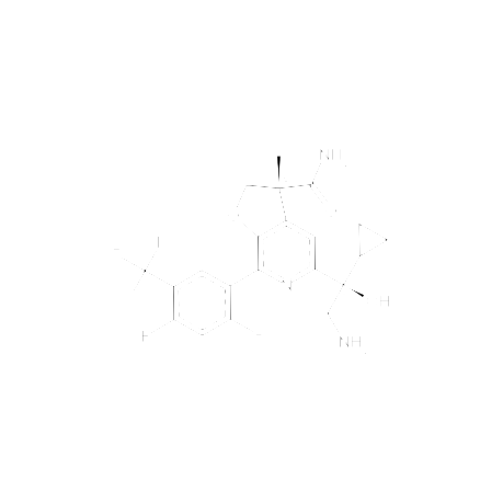 C[C@]1(C(N)=O)COc2c1cc([C@@](O)(CN)C1CC1)nc2-c1cc(C(F)(F)F)c(F)cc1F